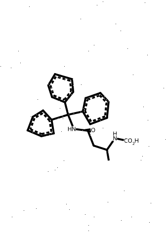 CC(CC(=O)NC(c1ccccc1)(c1ccccc1)c1ccccc1)NC(=O)O